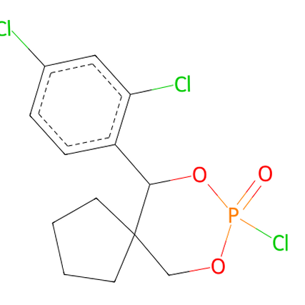 O=P1(Cl)OCC2(CCCC2)C(c2ccc(Cl)cc2Cl)O1